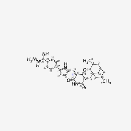 CC1CC2CC(C)CC(CN3C(=O)/C(=C/c4ccc(-c5ccc(C(=N)NN)cc5)[nH]4)C(=O)NC3=S)(C1)C2